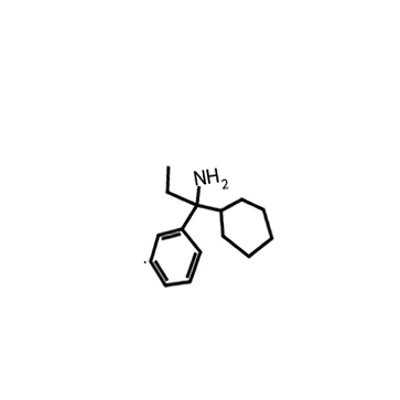 CCC(N)(c1c[c]ccc1)C1CCCCC1